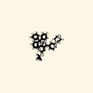 CC1(Oc2cc3c(-c4ccnc(N5CCOCC5)c4)nn(C(c4ccccc4)(c4ccccc4)c4ccccc4)c3cn2)CC1